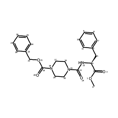 COC(=O)[C@H](Cc1ccccc1)NC(=O)N1CCN(C(=O)OCc2ccccc2)CC1